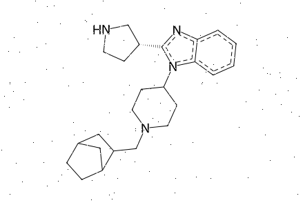 c1ccc2c(c1)nc([C@@H]1CCNC1)n2C1CCN(CC2CC3CCC2C3)CC1